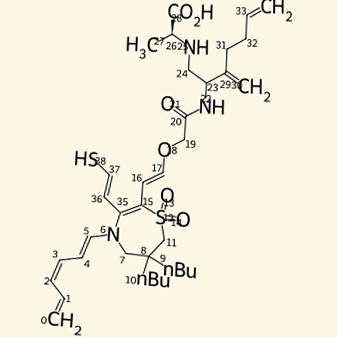 C=C/C=C\C=C\N1CC(CCCC)(CCCC)CS(=O)(=O)C(/C=C/OCC(=O)NC(CN[C@@H](C)C(=O)O)C(=C)CCC=C)=C1/C=C/S